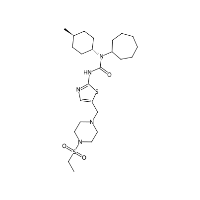 CCS(=O)(=O)N1CCN(Cc2cnc(NC(=O)N(C3CCCCCC3)[C@H]3CC[C@H](C)CC3)s2)CC1